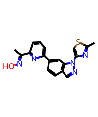 CC(=NO)c1cccc(-c2ccc3cnn(-c4csc(C)n4)c3c2)n1